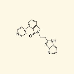 O=C1c2c(cccc2-c2ccncc2)CN1CCc1nc2ncccc2[nH]1